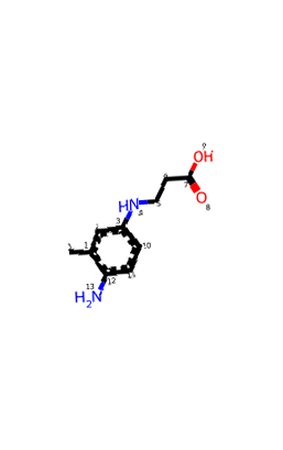 Cc1cc(NCCC(=O)O)ccc1N